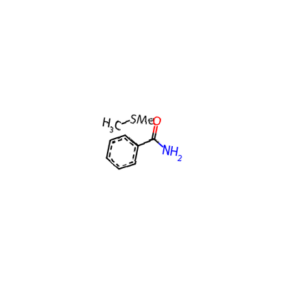 CSC.NC(=O)c1ccccc1